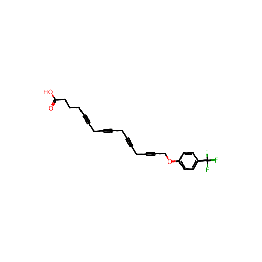 O=C(O)CCCC#CCC#CCC#CCC#CCOc1ccc(C(F)(F)F)cc1